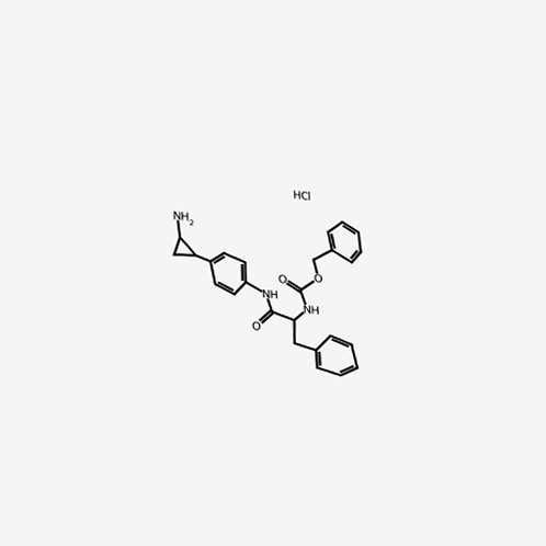 Cl.NC1CC1c1ccc(NC(=O)C(Cc2ccccc2)NC(=O)OCc2ccccc2)cc1